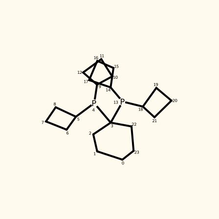 C1CCC(P(C2CCC2)C2CCC2)(P(C2CCC2)C2CCC2)CC1